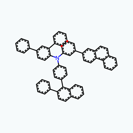 c1ccc(-c2ccc(N(c3ccc(-c4c(-c5ccccc5)ccc5ccccc45)cc3)c3cccc(-c4ccc5c(ccc6ccccc65)c4)c3)c(-c3ccccc3)c2)cc1